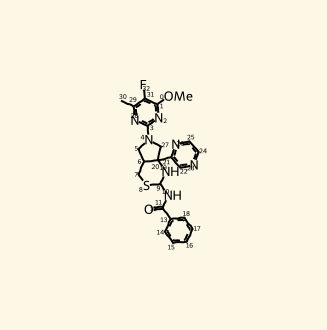 COc1nc(N2CC3CSC(NC(=O)c4ccccc4)NC3(c3cnccn3)C2)nc(C)c1F